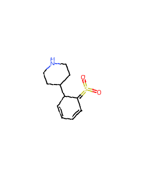 O=S(=O)=C1C=CC=CC1C1CCNCC1